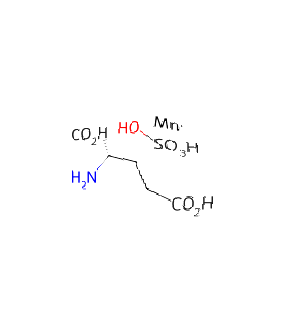 N[C@@H](CCC(=O)O)C(=O)O.O=S(=O)(O)O.[Mn]